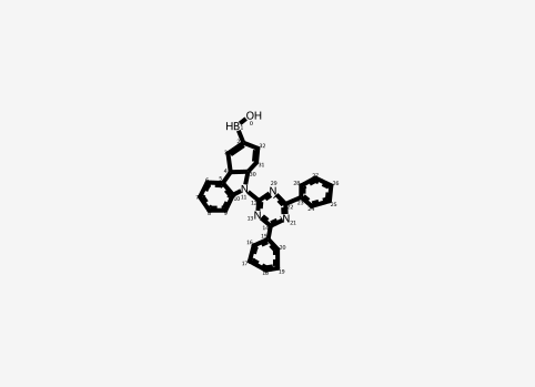 OBC1=CC2c3ccccc3N(c3nc(-c4ccccc4)nc(-c4ccccc4)n3)C2C=C1